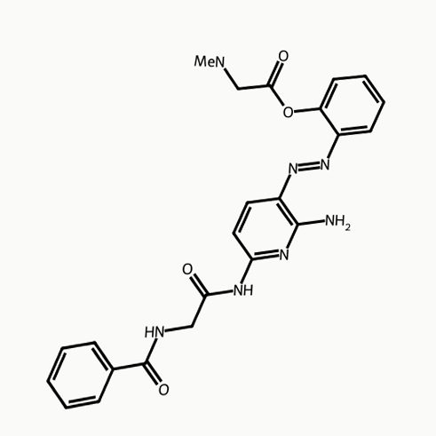 CNCC(=O)Oc1ccccc1/N=N/c1ccc(NC(=O)CNC(=O)c2ccccc2)nc1N